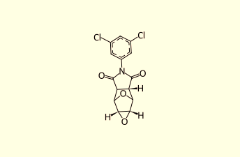 O=C1C2C3OC([C@H]2C(=O)N1c1cc(Cl)cc(Cl)c1)[C@@H]1O[C@H]31